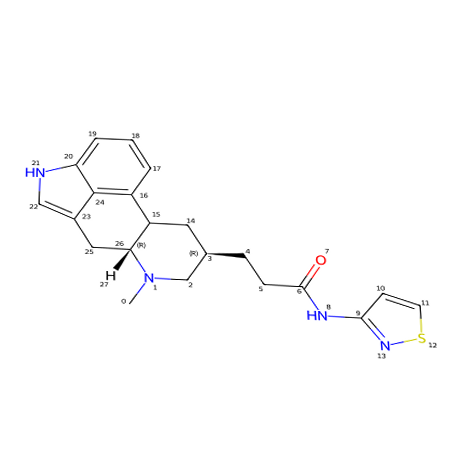 CN1C[C@H](CCC(=O)Nc2ccsn2)CC2c3cccc4[nH]cc(c34)C[C@H]21